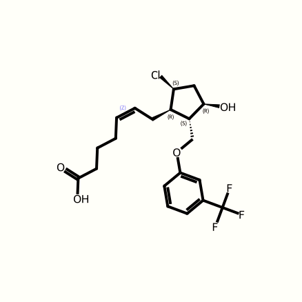 O=C(O)CCC/C=C\C[C@@H]1[C@@H](COc2cccc(C(F)(F)F)c2)[C@H](O)C[C@@H]1Cl